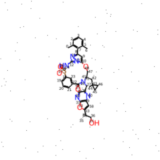 Cc1cccc(C)c1-c1cc2nc(n1)NS(=O)(=O)c1cccc(c1)C(=O)N(Cc1cnc3oc([C@@H](C)CO)cc3n1)[C@H](CC1(C)CC1)CO2